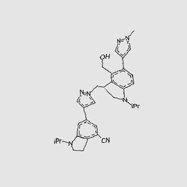 CC(C)N1CCc2c(C#N)cc(-c3cnn(CC4CN(C(C)C)c5ccc(-c6cnn(C)c6)c(CO)c54)c3)cc21